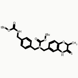 CC1Oc2ccc(CN(Cc3ccc(CNC(=O)OC(C)(C)C)cc3)C(=O)OC(C)(C)C)cc2NC1=S